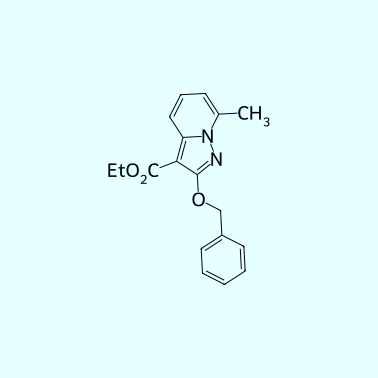 CCOC(=O)c1c(OCc2ccccc2)nn2c(C)cccc12